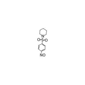 O=Nc1ccc(S(=O)(=O)N2CCCCC2)cc1